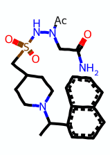 CC(=O)N(CC(N)=O)NS(=O)(=O)CC1CCN(C(C)c2cccc3ccccc23)CC1